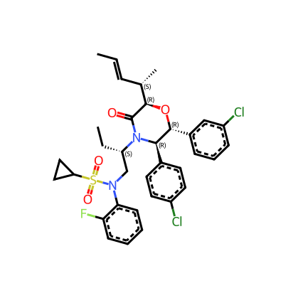 CC=C[C@H](C)[C@H]1O[C@H](c2cccc(Cl)c2)[C@@H](c2ccc(Cl)cc2)N([C@@H](CC)CN(c2ccccc2F)S(=O)(=O)C2CC2)C1=O